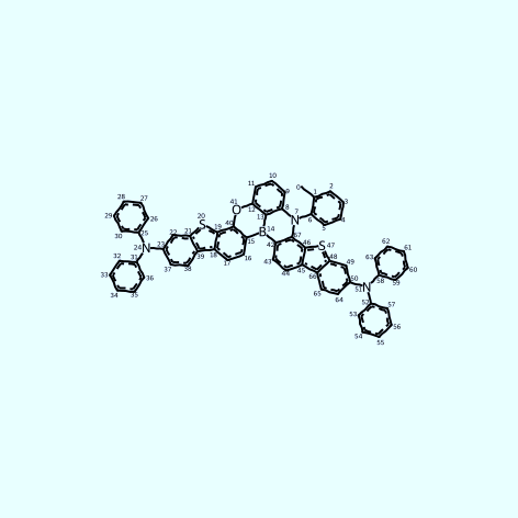 Cc1ccccc1N1c2cccc3c2B(c2ccc4c(sc5cc(N(c6ccccc6)c6ccccc6)ccc54)c2O3)c2ccc3c(sc4cc(N(c5ccccc5)c5ccccc5)ccc43)c21